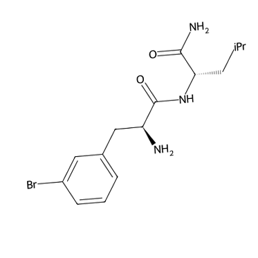 CC(C)C[C@H](NC(=O)[C@@H](N)Cc1cccc(Br)c1)C(N)=O